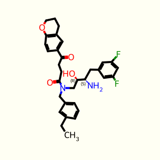 CCc1cccc(CN(C[C@@H](O)[C@@H](N)Cc2cc(F)cc(F)c2)C(=O)CCC(=O)c2ccc3c(c2)CCCO3)c1